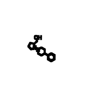 OC[C@@H]1CCCN1N1CCC(c2ccccc2)CC1